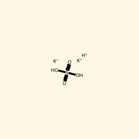 O=S(=O)(O)O.[H+].[K+].[K+]